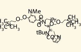 CNc1cc(S(=O)(=O)N(CC(C)C)C[C@@H](OCOCC[Si](C)(C)C)[C@H](Cc2ccccc2)N(C(=O)O)C(C)(C)C)ccc1OCOCC[Si](C)(C)C